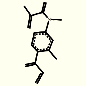 C=CC(=C)c1ccc(N(C)C(=C)C(=C)C)cc1C